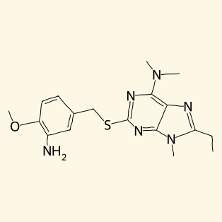 CCc1nc2c(N(C)C)nc(SCc3ccc(OC)c(N)c3)nc2n1C